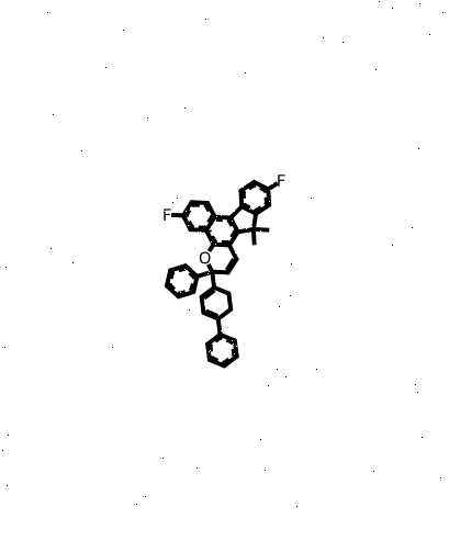 CC1(C)c2cc(F)ccc2-c2c1c1c(c3cc(F)ccc23)OC(C2=CC=C(c3ccccc3)CC2)(c2ccccc2)C=C1